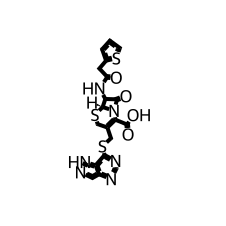 O=C(Cc1cccs1)NC1C(=O)N2C(C(=O)O)=C(CSc3ncnc4cn[nH]c34)CS[C@@H]12